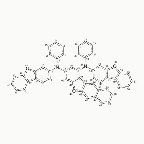 c1ccc(N(c2ccc3c(c2)oc2ccccc23)c2cc(N(c3ccccc3)c3ccc4c(c3)oc3ccccc34)c3c(c2)oc2cc4ccccc4cc23)cc1